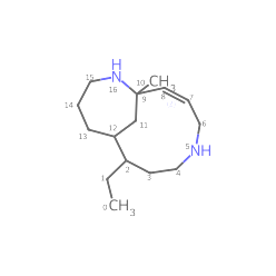 CCC1CCNC/C=C\C2(C)CC1CCCN2